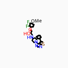 COc1ccc(OCC(O)CNC2CCN(c3ncnc4scc(-c5ccccc5)c34)CC2)c(F)c1F